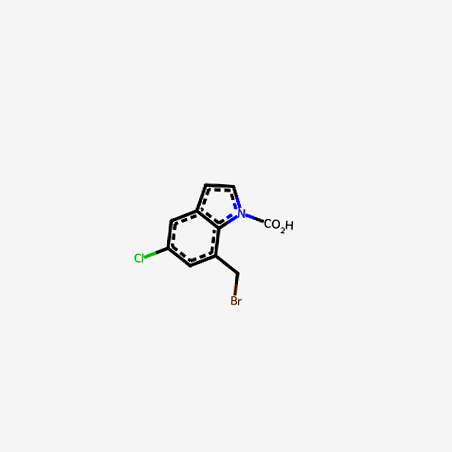 O=C(O)n1ccc2cc(Cl)cc(CBr)c21